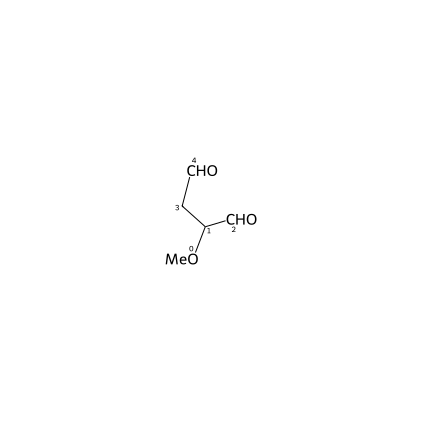 COC(C=O)CC=O